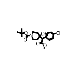 COC(=O)C(c1ccc(Cl)cc1)C1(O)CCN(C(=O)OC(C)(C)C)CC1